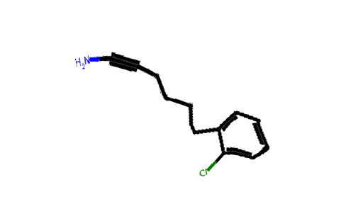 NC#CCCCCc1ccccc1Cl